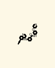 CC#Cc1ccc2nccc(Nc3cccc(C(=O)Nc4cccc(Oc5ccncc5)c4)c3)c2c1